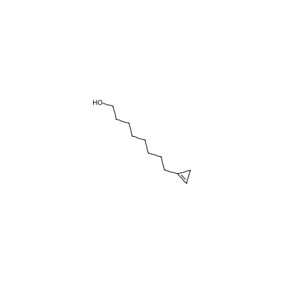 OCCCCCCCCC1=CC1